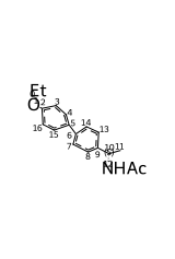 CCOc1ccc(-c2ccc([C@H](C)NC(C)=O)cc2)cc1